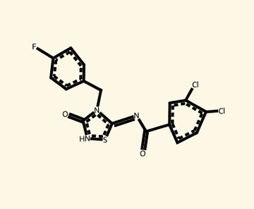 O=C(N=c1s[nH]c(=O)n1Cc1ccc(F)cc1)c1ccc(Cl)c(Cl)c1